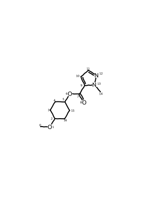 COC1CCC(OC(=O)c2ccnn2C)CC1